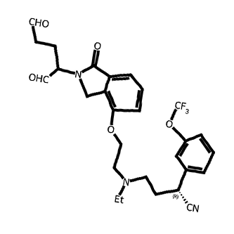 CCN(CCOc1cccc2c1CN(C(C=O)CCC=O)C2=O)CC[C@@H](C#N)c1cccc(OC(F)(F)F)c1